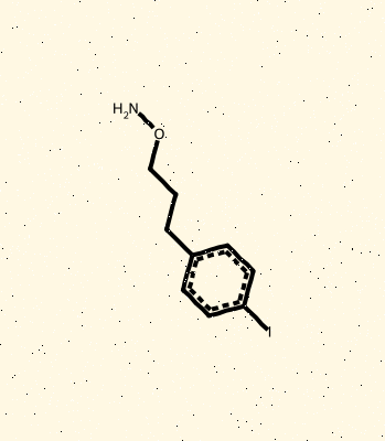 NOCCCc1ccc(I)cc1